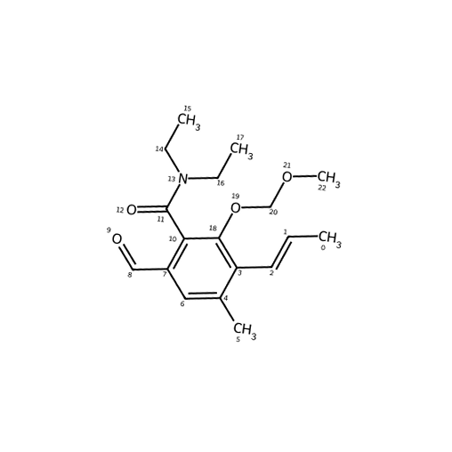 C/C=C/c1c(C)cc(C=O)c(C(=O)N(CC)CC)c1OCOC